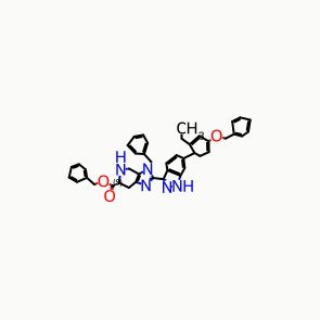 CCC1=CC(OCc2ccccc2)=CCC1c1ccc2c(-c3nc4c(n3Cc3ccccc3)CN[C@H](C(=O)OCc3ccccc3)C4)n[nH]c2c1